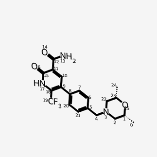 C[C@@H]1CN(Cc2ccc(-c3cc(C(N)=O)c(=O)[nH]c3C(F)(F)F)cc2)C[C@H](C)O1